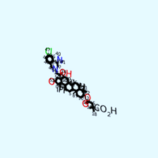 CC(C)C1=C2[C@H]3CCC4[C@@]5(C)CC[C@H](OC(=O)CC(C)(C)C(=O)O)C(C)(C)[C@@H]5CC[C@@]4(C)[C@]3(C)CC[C@@]2(C(O)CN(CCN(C)C)Cc2ccc(Cl)cc2)CC1=O